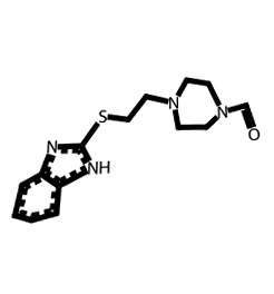 O=CN1CCN(CCSc2nc3ccccc3[nH]2)CC1